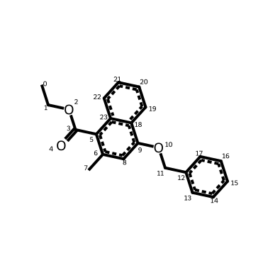 CCOC(=O)c1c(C)cc(OCc2ccccc2)c2ccccc12